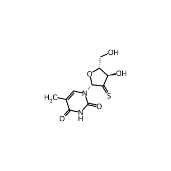 Cc1cn([C@@H]2O[C@H](CO)[C@@H](O)C2=S)c(=O)[nH]c1=O